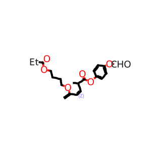 C=C(/C=C\C(C)C(=O)Oc1ccc(OC=O)cc1)OCCCCOC(=O)CC